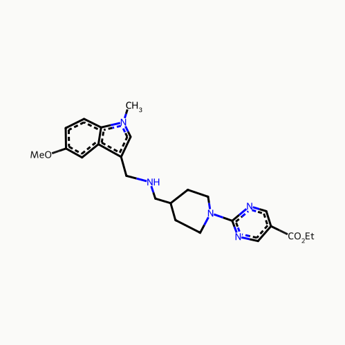 CCOC(=O)c1cnc(N2CCC(CNCc3cn(C)c4ccc(OC)cc34)CC2)nc1